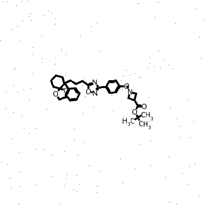 CC(C)(C)OC(=O)C1CN(Oc2ccc(-c3noc(CCCC4(c5ccccc5)CCCCC45OCCO5)n3)cc2)C1